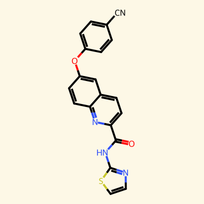 N#Cc1ccc(Oc2ccc3nc(C(=O)Nc4nccs4)ccc3c2)cc1